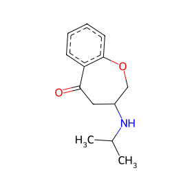 CC(C)NC1COc2ccccc2C(=O)C1